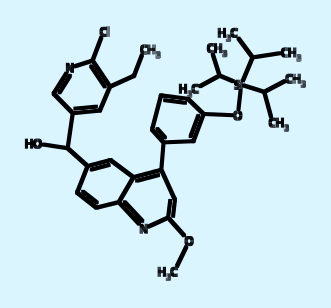 CCc1cc(C(O)c2ccc3nc(OC)cc(-c4cccc(O[Si](C(C)C)(C(C)C)C(C)C)c4)c3c2)cnc1Cl